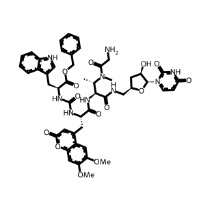 COc1cc2oc(=O)cc(C[C@H](NC(=O)N[C@@H](Cc3c[nH]c4ccccc34)C(=O)OCc3ccccc3)C(=O)N[C@H](C(=O)NC[C@H]3C[C@@H](O)[C@H](n4ccc(=O)[nH]c4=O)O3)[C@H](C)N(C)C(=O)CN)c2cc1OC